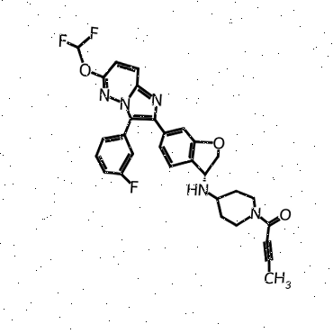 CC#CC(=O)N1CCC(N[C@H]2COc3cc(-c4nc5ccc(OC(F)F)nn5c4-c4cccc(F)c4)ccc32)CC1